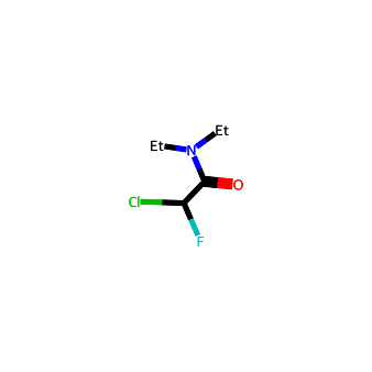 CCN(CC)C(=O)C(F)Cl